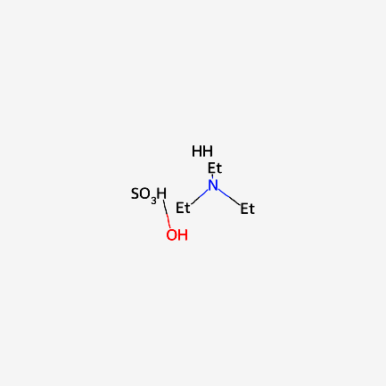 CCN(CC)CC.O=S(=O)(O)O.[HH]